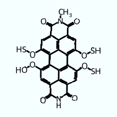 CN1C(=O)c2cc(OS)c3c4c(OO)cc5c6c(cc(OS)c(c7c(OS)cc(c2c37)C1=O)c64)C(=O)NC5=O